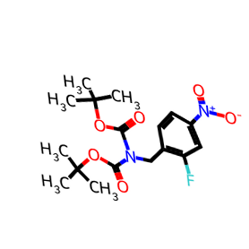 CC(C)(C)OC(=O)N(Cc1ccc([N+](=O)[O-])cc1F)C(=O)OC(C)(C)C